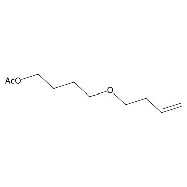 C=CCCOCCCCOC(C)=O